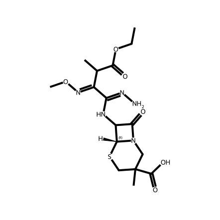 CCOC(=O)C(C)C(=NOC)C(=NN)NC1C(=O)N2CC(C)(C(=O)O)CS[C@H]12